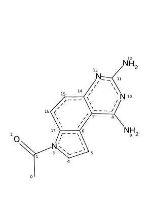 CC(=O)n1ccc2c3c(N)nc(N)nc3ccc21